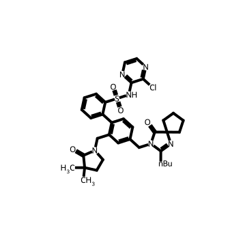 CCCCC1=NC2(CCCC2)C(=O)N1Cc1ccc(-c2ccccc2S(=O)(=O)Nc2nccnc2Cl)c(CN2CCC(C)(C)C2=O)c1